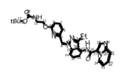 CCc1nn(Cc2cccc(OCCNC(=O)OC(C)(C)C)n2)c2cccc(NC(=O)c3cnc4ccccn34)c12